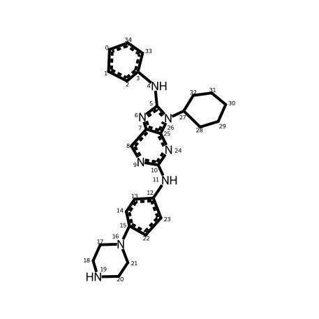 c1ccc(Nc2nc3cnc(Nc4ccc(N5CCNCC5)cc4)nc3n2C2CCCCC2)cc1